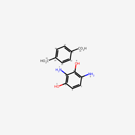 Nc1ccc(O)c(N)c1O.O=C(O)c1ccc(C(=O)O)cc1